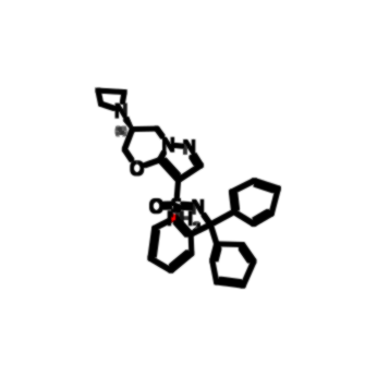 NS(=O)(=NC(c1ccccc1)(c1ccccc1)c1ccccc1)c1cnn2c1OC[C@@H](N1CCC1)C2